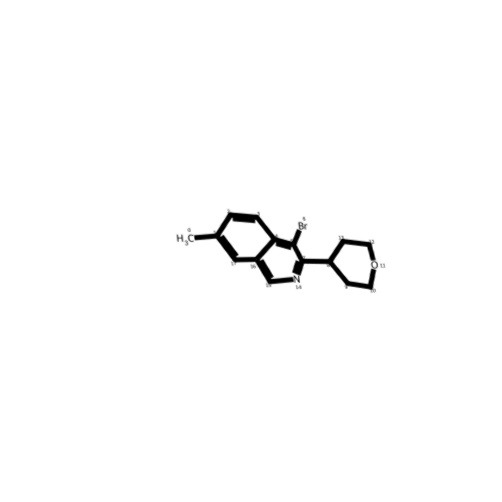 Cc1ccc2c(Br)c(C3CCOCC3)ncc2c1